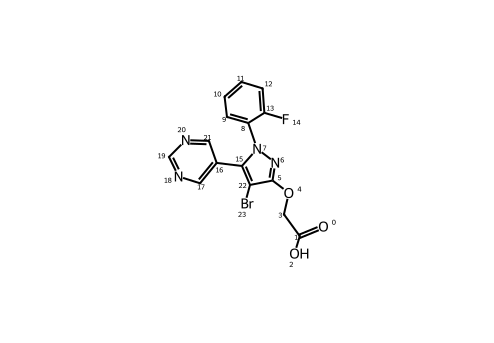 O=C(O)COc1nn(-c2ccccc2F)c(-c2cncnc2)c1Br